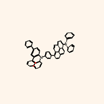 c1ccc(-c2ccc(N(c3ccccc3)c3ccc(-c4ccc5ccc6c(N(c7ccccc7)c7ccccc7)ccc7ccc4c5c76)cc3)c(-c3ccccc3)c2)cc1